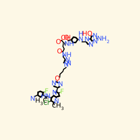 Cc1nc2cc(F)c(-c3cnc(OCCCCCn4cc(CNC(=O)CC[C@H](NC(=O)c5ccc(NCc6cnc7nc(N)nc(O)c7n6)cc5)C(=O)O)nn4)nc3)nc2c(N[C@H](C)c2cc(C#N)ccc2F)c1Cl